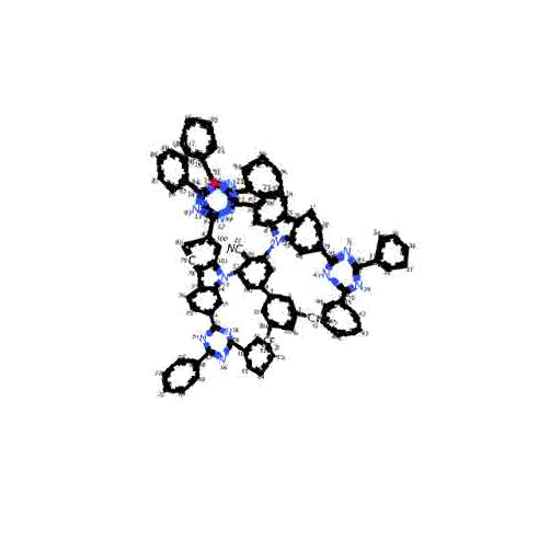 N#Cc1cc(-c2cc(-n3c4cc(-c5ncnc(-c6ccccc6)n5)ccc4c4ccc(-c5nc(-c6ccccc6)nc(-c6ccccc6)n5)cc43)c(C#N)c(-n3c4cc(-c5nc(-c6ccccc6)nc(-c6ccccc6)n5)ccc4c4ccc(-c5nc(-c6ccccc6)nc(-c6ccccc6)n5)cc43)c2)cc(C(F)(F)F)c1